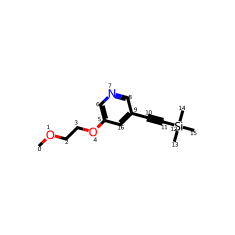 COCCOc1cncc(C#C[Si](C)(C)C)c1